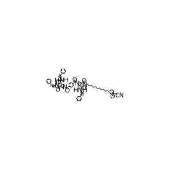 N#CCC(=O)OCCCCCCCCCCCCNC(=O)[C@@H]1CN(C(=O)c2ccc(C(=O)N3C[C@@H](C(=O)N[C@H]4C[C@@H]4c4ccccc4)[C@H](C(=O)N[C@H]4C[C@@H]4c4ccccc4)C3)cc2)C[C@H]1C(=O)N[C@H]1C[C@@H]1c1ccccc1